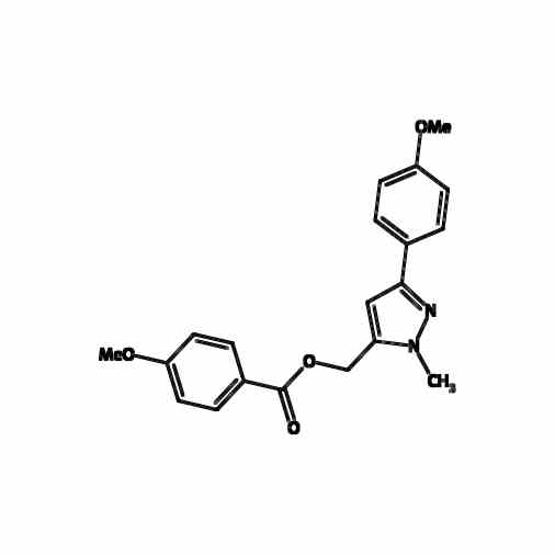 COc1ccc(C(=O)OCc2cc(-c3ccc(OC)cc3)nn2C)cc1